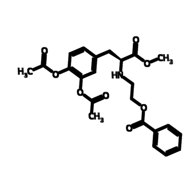 COC(=O)[C@H](Cc1ccc(OC(C)=O)c(OC(C)=O)c1)NCCOC(=O)c1ccccc1